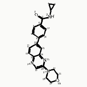 O=C(NC1CC1)c1ccc(-c2ccc3ncc(N4CCOCC4)nc3c2)cc1